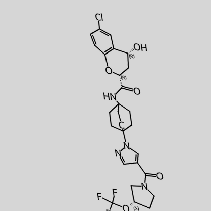 O=C(NC12CCC(n3cc(C(=O)N4CC[C@H](OC(F)(F)F)C4)cn3)(CC1)CC2)[C@H]1C[C@@H](O)c2cc(Cl)ccc2O1